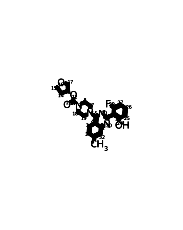 Cc1ccc2c(N3CCN(C(=O)O[C@@H]4CCOC4)CC3)nc(-c3c(O)cccc3F)nc2c1